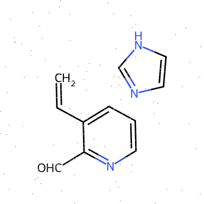 C=Cc1cccnc1C=O.c1c[nH]cn1